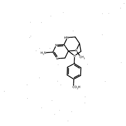 CN1C2CNC3=NC(N)=NCC31N(c1ccc(C(=O)O)cc1)C2